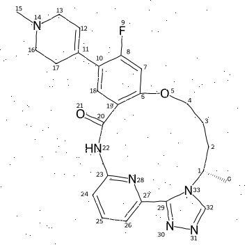 C[C@H]1CCCOc2cc(F)c(C3=CCN(C)CC3)cc2C(=O)Nc2cccc(n2)-c2nncn21